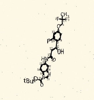 CC(F)(F)COc1ccc(C(O)CC(=O)Nc2ccc3c(c2)ncn3C(=O)OC(C)(C)C)c(F)c1